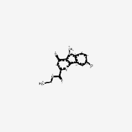 CCOC(=O)c1cc(=O)c2c(o1)c1cc(Cl)ccc1n2C